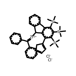 C[Si](C)(C)c1c(C2=CC=CC2)c2c(c([Si](C)(C)C)c1[Si](C)(C)C)-c1ccccc1[CH]2[Zr+2]=[C](c1ccccc1)c1ccccc1.[Cl-].[Cl-]